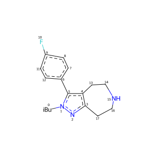 CCC(C)n1nc2c(c1-c1ccc(F)cc1)CCNCC2